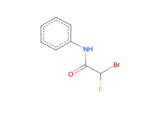 O=C(Nc1ccccc1)C(F)Br